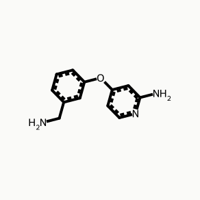 NCc1cccc(Oc2ccnc(N)c2)c1